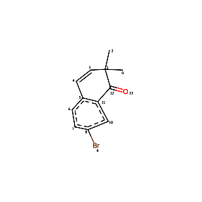 CC1(C)C=Cc2ccc(Br)cc2C1=O